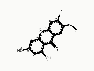 COc1cc2c(=O)c3c(O)cc(O)cc3oc2cc1O